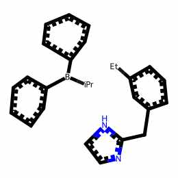 CC(C)B(c1ccccc1)c1ccccc1.CCc1cccc(Cc2ncc[nH]2)c1